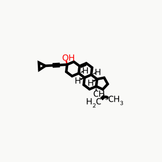 C=C(C)[C@H]1CC[C@H]2[C@@H]3CC=C4C[C@@](O)(C#CC5CC5)CC[C@@H]4[C@H]3CC[C@]12C